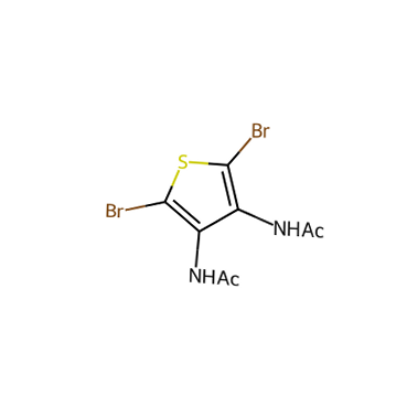 CC(=O)Nc1c(Br)sc(Br)c1NC(C)=O